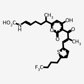 CC(=Cc1ccc(CCCC(F)(F)F)s1)C(=O)c1c(O)cc(C(C)CCC=CNC(=O)O)oc1=O